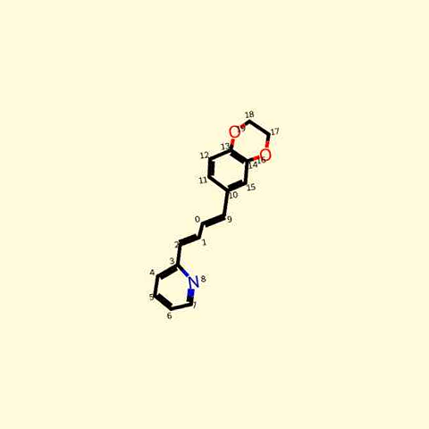 C(C=Cc1ccccn1)=Cc1ccc2c(c1)OCCO2